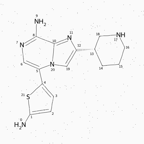 Nc1ccc(-c2cnc(N)c3nc([C@H]4CCCNC4)cn23)s1